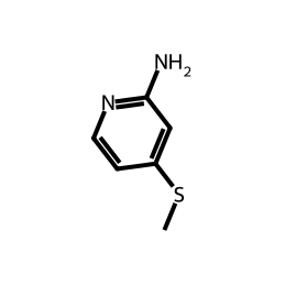 CSc1ccnc(N)c1